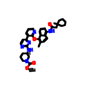 Cc1ccc2c(NC(=O)CC3(C)CCCCC3)cccc2c1Oc1ncccc1-c1ccnc(N[C@H]2CCCN(C(=O)OC(C)(C)C)C2)n1